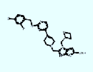 O=C(O)c1cc2c(nc(CN3CC=C(c4ccnc(OCc5ccc(Cl)cc5F)n4)CC3)n2C[C@@H]2CCO2)s1